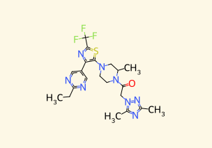 CCc1ncc(-c2nc(C(F)(F)F)sc2N2CCN(C(=O)Cn3nc(C)nc3C)C(C)C2)cn1